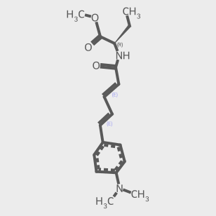 CC[C@@H](NC(=O)/C=C/C=C/c1ccc(N(C)C)cc1)C(=O)OC